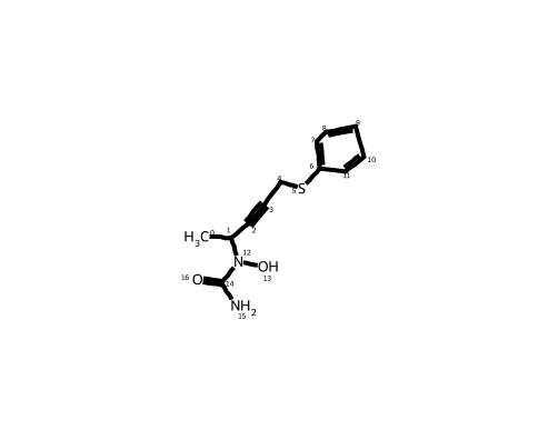 CC(C#CCSc1ccccc1)N(O)C(N)=O